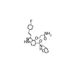 NC(=O)CCOc1c(C(=O)NCc2ccco2)ccc2[nH]nc(/C=C/c3ccc(F)cc3)c12